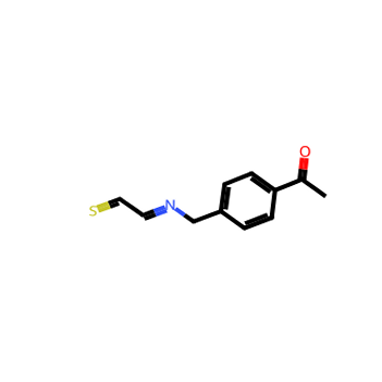 CC(=O)c1ccc(CN=CC=S)cc1